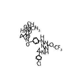 CN(C)S(=O)(=O)NC(=O)C1(CNC(=O)c2ccc(Nc3nc(NC4(c5ccc(Cl)cc5)CC4)nc(OCC(F)(F)F)n3)cc2)CC1